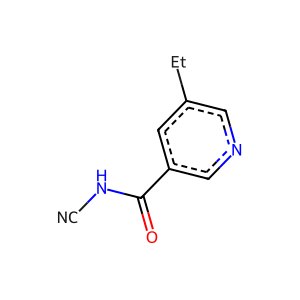 CCc1cncc(C(=O)NC#N)c1